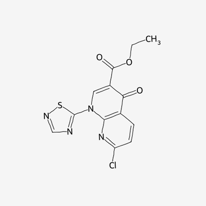 CCOC(=O)c1cn(-c2ncns2)c2nc(Cl)ccc2c1=O